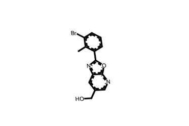 Cc1c(Br)cccc1-c1nc2cc(CO)cnc2o1